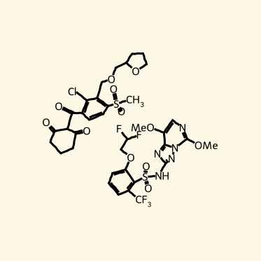 COc1cnc(OC)n2nc(NS(=O)(=O)c3c(OCC(F)F)cccc3C(F)(F)F)nc12.CS(=O)(=O)c1ccc(C(=O)C2C(=O)CCCC2=O)c(Cl)c1COCC1CCCO1